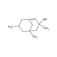 CC1CC2=CC(C)(O)CC(C)(C2)C1